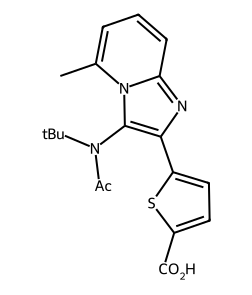 CC(=O)N(c1c(-c2ccc(C(=O)O)s2)nc2cccc(C)n12)C(C)(C)C